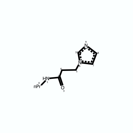 CCCNC(=O)CCn1c[c]nc1